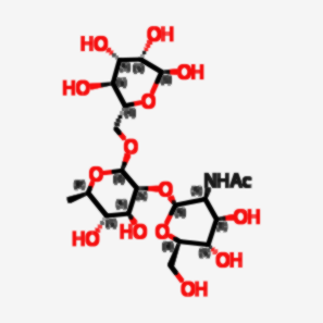 CC(=O)N[C@@H]1[C@H](O[C@@H]2[C@H](OC[C@H]3O[C@H](O)[C@@H](O)[C@@H](O)[C@@H]3O)O[C@H](C)[C@@H](O)[C@@H]2O)O[C@H](CO)[C@@H](O)[C@@H]1O